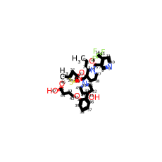 CCC[C@H]1N(C(=O)c2cnccc2C(F)(F)F)CCC[C@@]1(Oc1csc(C)c1)C(=O)N1CCC(O)(c2ccccc2OCCCC(=O)O)CC1